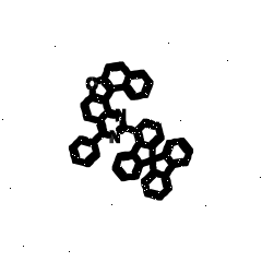 c1ccc(-c2nc(-c3cccc4c3-c3ccccc3C43c4ccccc4-c4ccccc43)nc3c2ccc2oc4ccc5ccccc5c4c23)cc1